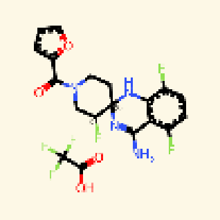 NC1=N[C@@]2(CCN(C(=O)c3ccco3)C[C@@H]2F)Nc2c(F)ccc(F)c21.O=C(O)C(F)(F)F